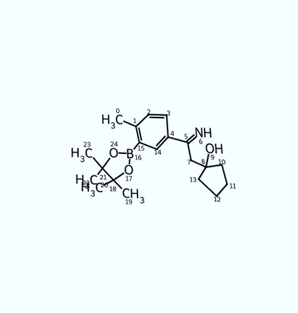 Cc1ccc(C(=N)CC2(O)CCCC2)cc1B1OC(C)(C)C(C)(C)O1